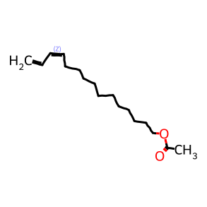 C=C/C=C\CCCCCCCCCCCOC(C)=O